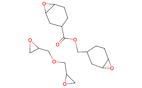 C(OCC1CO1)C1CO1.O=C(OCC1CCC2OC2C1)C1CCC2OC2C1